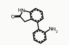 Nc1ccccc1-c1cccc2c1CC(=O)N2